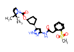 CC1(C)CCN1C(=O)O[C@@H]1CC[C@H](c2cc(NC(=O)Cc3ccccc3S(C)(=O)=O)n[nH]2)C1